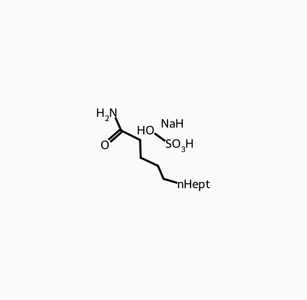 CCCCCCCCCCCC(N)=O.O=S(=O)(O)O.[NaH]